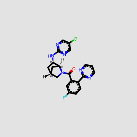 O=C(c1cc(F)ccc1-c1ncccn1)N1C[C@@H]2C[C@@H](Nc3ncc(Cl)cn3)[C@@H]1C2